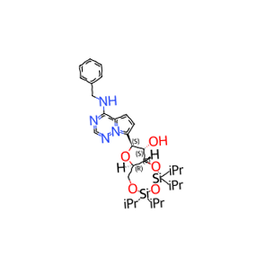 CC(C)[Si]1(C(C)C)OC[C@H]2O[C@@H](c3ccc4c(NCc5ccccc5)ncnn34)[C@H](O)[C@@H]2O[Si](C(C)C)(C(C)C)O1